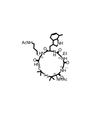 CC[C@@H]1NC(=O)[C@H](C)NC(=O)[C@@H](NC(C)=O)C(C)(C)SSC(C)(C)CNC(=O)[C@H](CCCCNC(C)=O)NC(=O)C(CC2CNC3C(C)C=CCC23)NC1=O